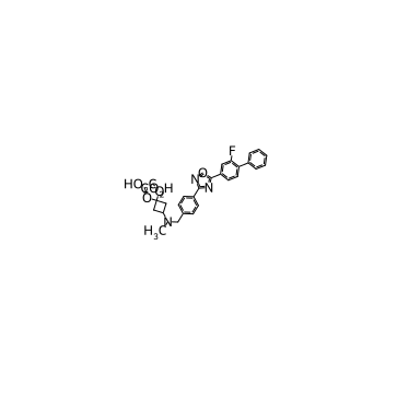 CN(Cc1ccc(-c2noc(-c3ccc(-c4ccccc4)c(F)c3)n2)cc1)C1CC(OC(=O)O)(OC(=O)O)C1